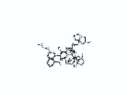 CCc1cccc2cc(OCOC)cc(-c3nc4c5c(nc(OC[C@@]67CCCN6C[C@@H](F)C7)nc5c3F)N3C[C@@H]5CC[C@H]([C@H]3CO4)N5C(=O)OC(C)(C)C)c12